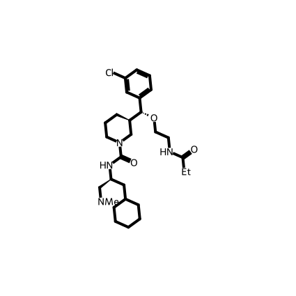 CCC(=O)NCCO[C@@H](c1cccc(Cl)c1)[C@@H]1CCCN(C(=O)N[C@H](CNC)CC2CCCCC2)C1